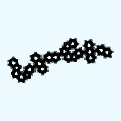 C1=CC2Oc3c(ccc4ccc5oc6cc(-c7c8ccccc8c(-c8ccc9cc(-c%10cc%11oc%12ccccc%12c%11c%11c%10ccc%10oc%12cc(-c%13c%14ccccc%14c(-c%14ccc%15ccccc%15c%14)c%14ccccc%13%14)ccc%12c%10%11)ccc9c8)c8ccccc78)ccc6c5c34)C2C=C1